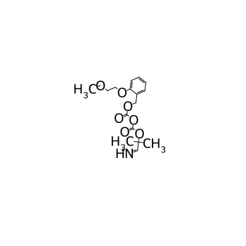 COCCOc1ccccc1COC(=O)OC(=O)OC(C)(C)C=N